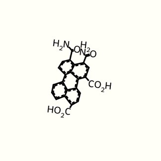 NC(=O)c1ccc2c3cccc4c(C(=O)O)ccc(c5c(C(=O)O)cc(C(N)=O)c1c25)c43